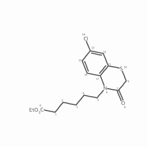 CCOC(=O)CCCCCN1C(=O)CSc2cc(Cl)ccc21